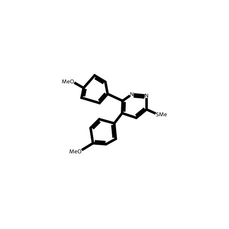 COc1ccc(-c2cc(SC)nnc2-c2ccc(OC)cc2)cc1